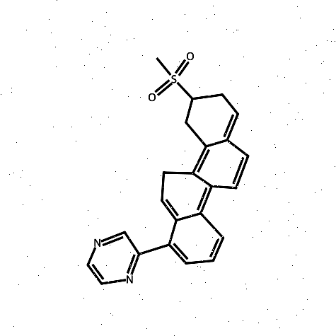 CS(=O)(=O)C1CC=c2ccc3c(c2C1)CC=c1c(-c2cnccn2)cccc1=3